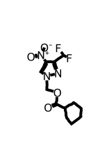 O=C(OCn1cc([N+](=O)[O-])c(C(F)F)n1)C1CCCCC1